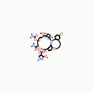 COc1nn(C)cc1C(=O)NS1(=O)=NC(=O)c2ccc3c(c2)N(Cc2ccc(Cl)cc2CCCCO3)C[C@@H]2CC[C@H]2[C@@H](OC)/C=C/[C@H](OC(=O)N(C)C)CC1C(=O)N(C)C